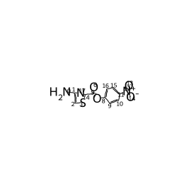 Nc1csc(C(=O)Oc2ccc([N+](=O)[O-])cc2)n1